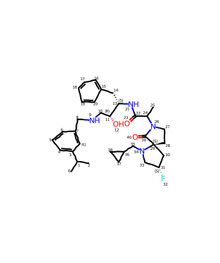 CC(C)c1cccc(CNC[C@@H](O)[C@H](Cc2ccccc2)NC(=O)C(C)N2CC[C@]3(C[C@H](F)CN3CC3CC3)C2=O)c1